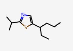 CCCC(CC)c1cnc(C(C)C)s1